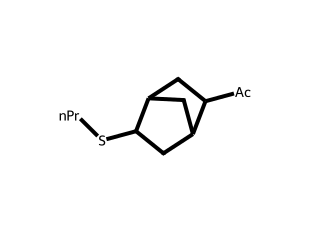 CCCSC1CC2CC1CC2C(C)=O